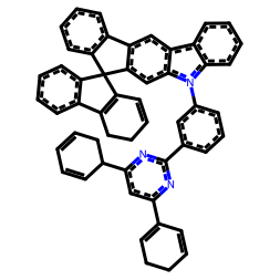 C1=CCC(c2cc(C3=CCCC=C3)nc(-c3cccc(-n4c5ccccc5c5cc6c(cc54)C4(C5=C(CCC=C5)c5ccccc54)c4ccccc4-6)c3)n2)C=C1